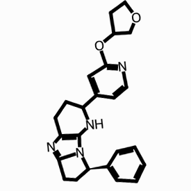 c1ccc([C@H]2CCc3nc4c(n32)NC(c2ccnc(OC3CCOC3)c2)CC4)cc1